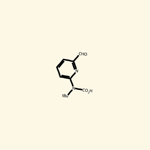 CC(C)(C)N(C(=O)O)c1cccc(C=O)n1